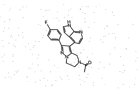 CC(=O)N1CCn2nc(-c3ccc(F)cc3)c(-c3ccnc4[nH]ccc34)c2C1